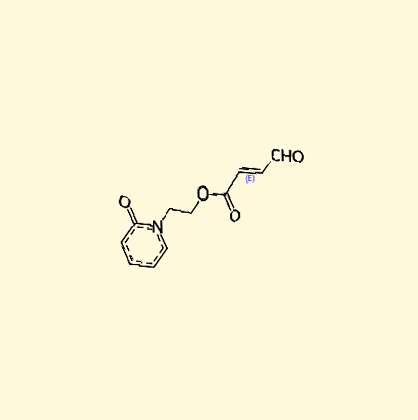 O=C/C=C/C(=O)OCCn1ccccc1=O